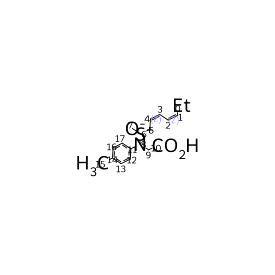 CC/C=C\C=C/C[S+]([O-])N(CC(=O)O)c1ccc(C)cc1